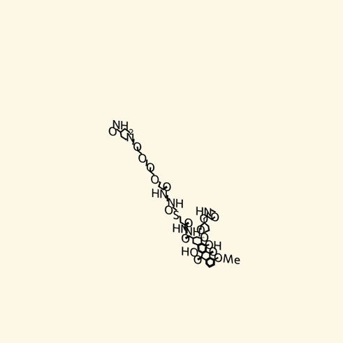 COc1cccc2c1C(=O)c1c(O)c3c(c(O)c1C2=O)CC(C(=O)NNC(=O)CCSCC(=O)NCCNC(=O)CCOCCOCCOCCOCCN1CCC(C(N)=O)CC1)C[C@@H]3O[C@H]1CC[C@H](O[C@@H]2COCCN2)CO1